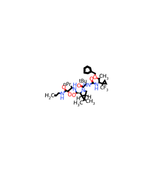 C=CCNC(=O)C(=O)C(CCC)NC(=O)[C@@H]1[C@@H]2[C@H](CN1C(=O)[C@@H](NC(=O)N[C@H](C(C)OCc1ccccc1)C1(C(F)(F)F)CC1)C(C)(C)C)C2(C)C